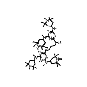 CCC(CCCCc1nc(N(C)C2CC(C)(C)N(C)C(C)(C)C2)nc(N(C)C2CC(C)(C)N(C)C(C)(C)C2)n1)c1nc(N(C)C2CC(C)(C)N(C)C(C)(C)C2)nc(N(C)C2CC(C)(C)N(C)C(C)(C)C2)n1